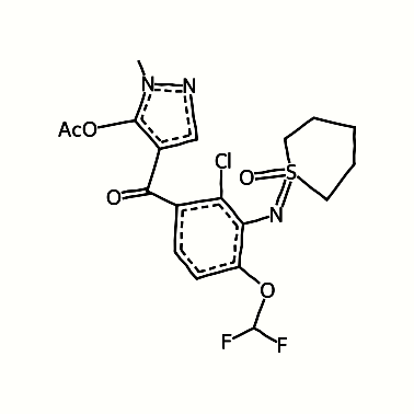 CC(=O)Oc1c(C(=O)c2ccc(OC(F)F)c(N=S3(=O)CCCCC3)c2Cl)cnn1C